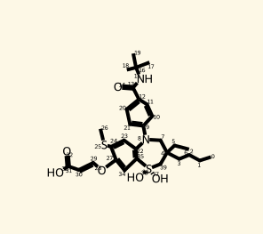 CCCCC1(CC)CN(c2ccc(C(=O)NC(C)(C)C)cc2)c2cc(SC)c(OC=CC(=O)O)cc2S(O)(O)C1